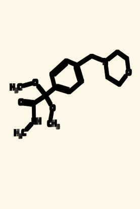 CNC(=O)C(OC)(OC)c1ccc(CN2CCOCC2)cc1